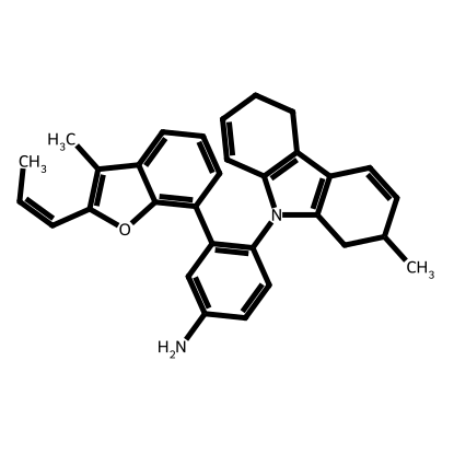 C/C=C\c1oc2c(-c3cc(N)ccc3-n3c4c(c5c3CC(C)C=C5)CCC=C4)cccc2c1C